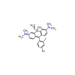 C=C[Si]1(C)C2=CC(=[N+](C)C)C=CC2=C(c2ccc(C(C)=O)cc2F)c2ccc(N(C)C)cc21